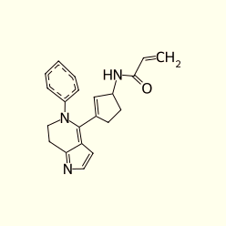 C=CC(=O)NC1C=C(C2=C3C=CN=C3CCN2c2ccccc2)CC1